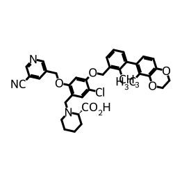 Cc1c(COc2cc(OCc3cncc(C#N)c3)c(CN3CCCC[C@H]3C(=O)O)cc2Cl)cccc1-c1ccc2c(c1C)OCCO2